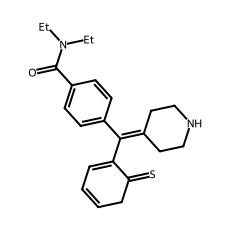 CCN(CC)C(=O)c1ccc(C(C2=CC=CCC2=S)=C2CCNCC2)cc1